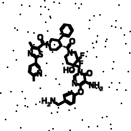 Cc1ccc(-c2nc(C)c(C(=O)N3CC[C@@H](C(=O)N4CC[C@](O)(Cn5cnc(Oc6ccc(CN)cc6)c(N)c5=O)C(F)(F)C4)[C@H](c4ccccc4)C3)s2)cn1